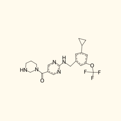 O=C(c1cnc(NCc2cc(OC(F)(F)F)cc(C3CC3)c2)nc1)N1CCCNC1